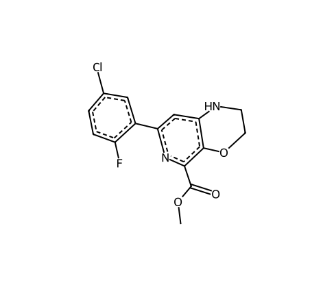 COC(=O)c1nc(-c2cc(Cl)ccc2F)cc2c1OCCN2